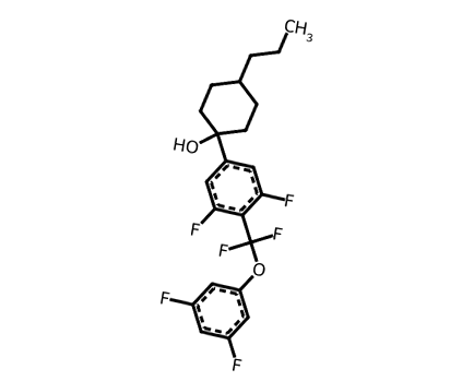 CCCC1CCC(O)(c2cc(F)c(C(F)(F)Oc3cc(F)cc(F)c3)c(F)c2)CC1